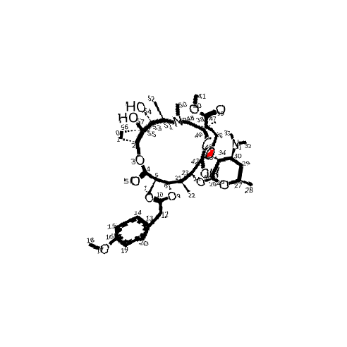 CC[C@H]1OC(=O)[C@H](C)[C@@H](OC(=O)Cc2ccc(OC)cc2)[C@H](C)[C@@H](O[C@@H]2O[C@H](C)C[C@H](N(C)C)[C@H]2OCCC(=O)OC)[C@@](C)(O)C[C@@H](C)CN(C)[C@H](C)[C@@H](O)[C@]1(C)O